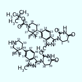 Cn1nc(N2CCC(=O)NC2=O)c2ccc([C@@H]3CCN(C(=O)OC(C)(C)C)CC3(F)F)cc21.Cn1nc(N2CCC(=O)NC2=O)c2ccc([C@@H]3CCNCC3(F)F)cc21